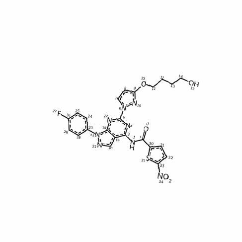 O=C(Nc1nc(-n2ccc(OCCCCO)n2)nc2c1cnn2-c1ccc(F)cc1)c1ccc([N+](=O)[O-])s1